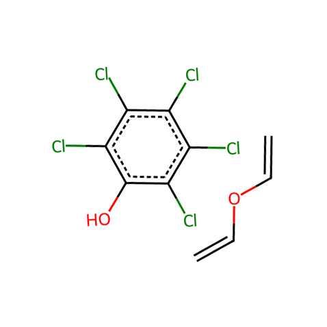 C=COC=C.Oc1c(Cl)c(Cl)c(Cl)c(Cl)c1Cl